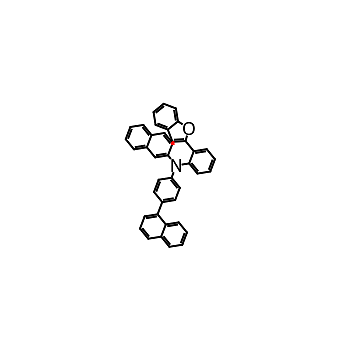 c1ccc(N(c2ccc(-c3cccc4ccccc34)cc2)c2ccc3ccccc3c2)c(-c2cc3ccccc3o2)c1